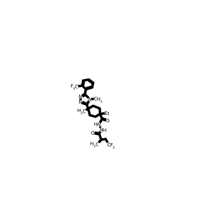 CCC1(C(=O)NNC(=O)C(C)CC(F)(F)F)CCC(C)(c2nnc(-c3ccccc3C(F)(F)F)n2C)CC1